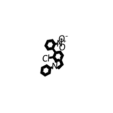 O=[N+]([O-])c1ccccc1-c1ccc2ccn(-c3ccccc3)c2c1Cl